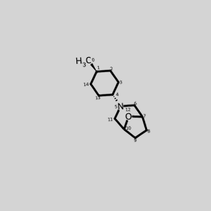 C[C@H]1CC[C@H](N2CC3CCC(C2)O3)CC1